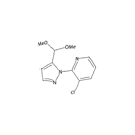 COC(OC)c1[c]cnn1-c1ncccc1Cl